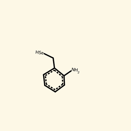 Nc1ccccc1C[SeH]